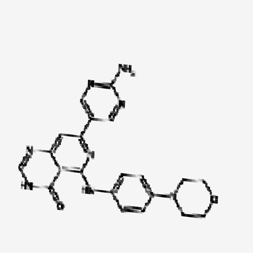 Nc1ncc(-c2cc3nc[nH]c(=O)c3c(Nc3ccc(N4CCOCC4)cc3)n2)cn1